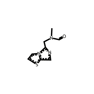 CN(C=O)Cc1ncc2sccn12